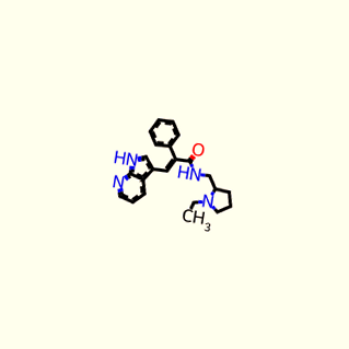 CCN1CCCC1CNC(=O)/C(=C/c1c[nH]c2ncccc12)c1ccccc1